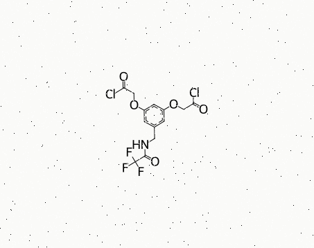 O=C(Cl)COc1cc(CNC(=O)C(F)(F)F)cc(OCC(=O)Cl)c1